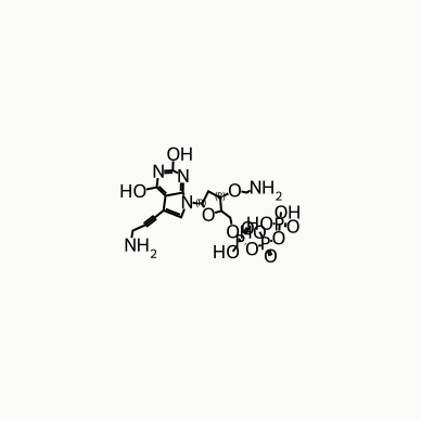 NCC#Cc1cn([C@H]2C[C@@H](OCN)C(COP(=O)(O)OP(=O)(O)OP(=O)(O)O)O2)c2nc(O)nc(O)c12